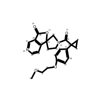 COCCOc1ccc(C2(C(=O)N3CCC4(C3)OC(=O)c3cnccc34)CC2)cc1